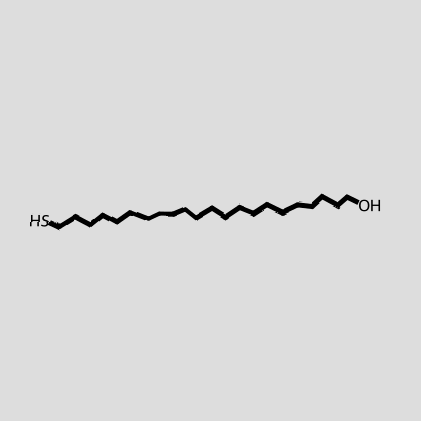 OCCCCCCCCCCCCCCCCCCCCCCS